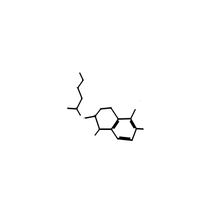 Br.CCCCC(C)NC1CCc2c(ccc(O)c2O)C1O